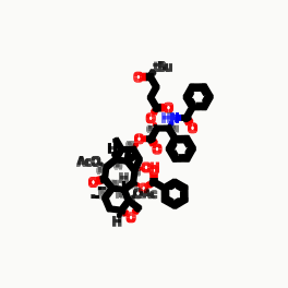 CC(=O)O[C@H]1C(=O)[C@]2(C)[C@@H](C)C[C@H]3OC[C@]3(OC(C)=O)[C@@H]2[C@@H](OC(=O)c2ccccc2)[C@]2(O)C[C@H](OC(=O)[C@H](OC(=O)CCC(=O)C(C)(C)C)[C@@H](NC(=O)c3ccccc3)c3ccccc3)C(C)[C@@H]1C2(C)C